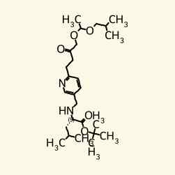 CC(C)COC(C)OCC(=O)CCc1ccc(CN[C@@H](CC(C)C)C(=O)OC(C)(C)C)cn1